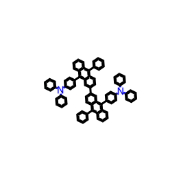 c1ccc(-c2c3ccccc3c(-c3ccc(N(c4ccccc4)c4ccccc4)cc3)c3cc(-c4ccc5c(-c6ccccc6)c6ccccc6c(-c6ccc(N(c7ccccc7)c7ccccc7)cc6)c5c4)ccc23)cc1